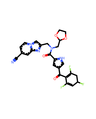 N#Cc1ccn2cc(CN(CC3OCCO3)C(=O)c3cc(C(=O)C4=C(F)CC(F)C=C4F)c[nH]3)nc2c1